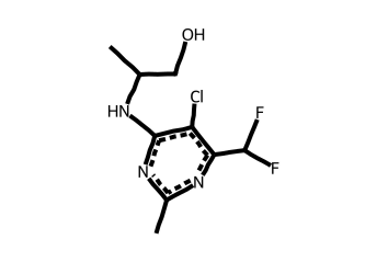 Cc1nc(NC(C)CO)c(Cl)c(C(F)F)n1